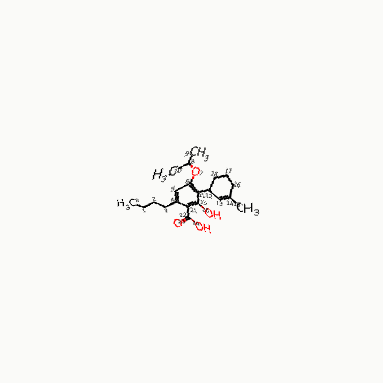 CCCCc1cc(OC(C)C)c(C2C=C(C)CCC2)c(O)c1C(=O)O